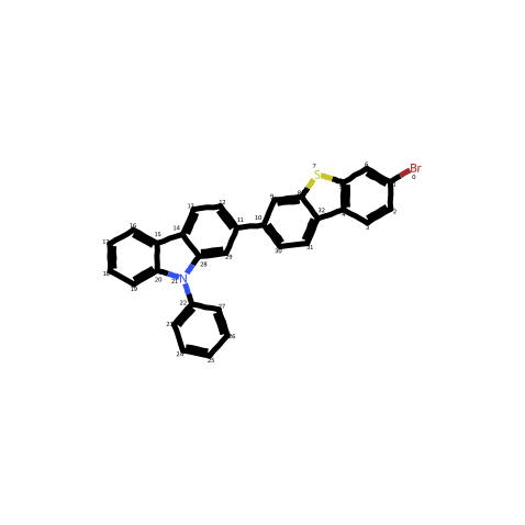 Brc1ccc2c(c1)sc1cc(-c3ccc4c5ccccc5n(-c5ccccc5)c4c3)ccc12